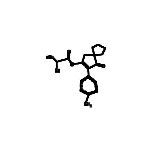 CCCCC(CC)C(=O)OC1=C(c2ccc(C)cc2)C(=O)C2(CCCC2)C1